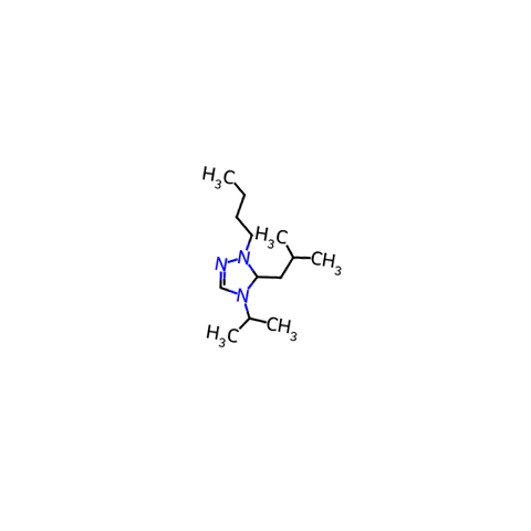 CCCCN1N=CN(C(C)C)C1CC(C)C